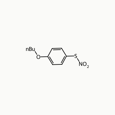 CCCCOc1ccc(S[N+](=O)[O-])cc1